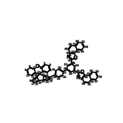 c1ccc2c(c1)Oc1ccccc1C21c2ccccc2-c2ccc(-c3ccc(-c4cc(-c5nc6ccc7ccccc7c6o5)cc(-c5nc6ccc7ccccc7c6o5)c4)cc3)cc21